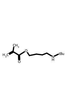 C=C(C)C(=O)OCCCCNC(C)(C)C